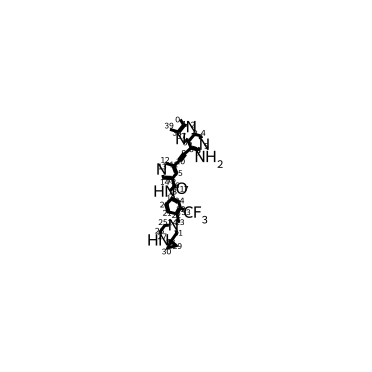 Cc1nc2cnc(N)c(C#Cc3cncc(C(=O)Nc4ccc(CN5CCNC6(CC6)C5)c(C(F)(F)F)c4)c3)c2nc1C